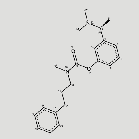 C[C@@H](c1cccc(OC(=O)N(C)CCCc2ccccc2)c1)N(C)C